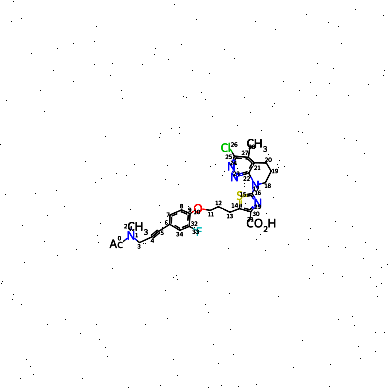 CC(=O)N(C)CC#Cc1ccc(OCCCc2sc(N3CCCc4c3nnc(Cl)c4C)nc2C(=O)O)c(F)c1